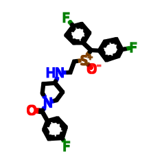 O=C(c1ccc(F)cc1)N1CCC(NCC[S+]([O-])C(c2ccc(F)cc2)c2ccc(F)cc2)CC1